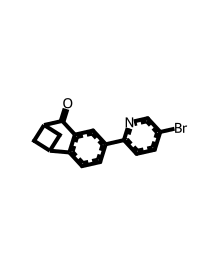 O=C1c2cc(-c3ccc(Br)cn3)ccc2C2CC1C2